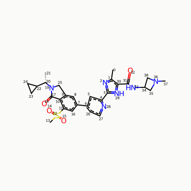 Cc1nc(-c2cc(-c3cc4c(c(S(C)(=O)=O)c3)C(=O)N([C@@H](C)C3CC3)C4)ccn2)[nH]c1C(=O)NC1CN(C)C1